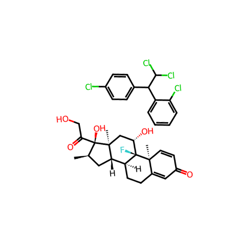 C[C@@H]1C[C@H]2[C@@H]3CCC4=CC(=O)C=C[C@]4(C)[C@@]3(F)[C@@H](O)C[C@]2(C)[C@@]1(O)C(=O)CO.Clc1ccc(C(c2ccccc2Cl)C(Cl)Cl)cc1